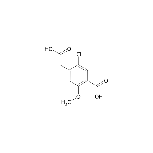 COc1cc(CC(=O)O)c(Cl)cc1C(=O)O